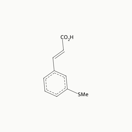 CSc1cccc(C=CC(=O)O)c1